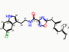 C=C(/C=C\C(=C/C)C(F)(F)F)Cc1nc(C(=O)NCCc2c[nH]c3ccc(Cl)cc23)no1